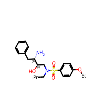 CCOc1ccc(S(=O)(=O)N(CC(C)C)C[C@@H](O)[C@@H](N)Cc2ccccc2)cc1